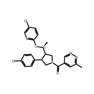 Cc1cc(C(=O)N2CC(c3ccc(Cl)cc3)C([C@H](C)Oc3ccc(Cl)cn3)C2)cnn1